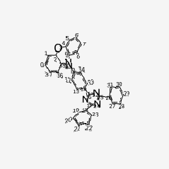 C1=CC2Oc3ccccc3N(c3ccc(-c4nc(-c5ccccc5)nc(-c5ccccc5)n4)cc3)C2C=C1